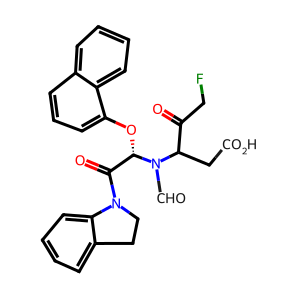 O=CN(C(CC(=O)O)C(=O)CF)[C@@H](Oc1cccc2ccccc12)C(=O)N1CCc2ccccc21